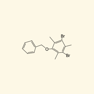 Cc1c(Br)c(C)c(OCc2ccccc2)c(C)c1Br